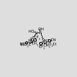 CCOC(=O)C1=C(C)N(c2cccc(C(F)(F)F)c2)C(SCCCCCN(CCO)CCN(CCO)CCCCCSC2=NC(c3ccc(C#N)cc3)C(C(=O)OCC)=C(C)N2c2cccc(C(F)(F)F)c2)=NC1c1ccc(C#N)cc1